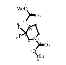 COC(=O)C[C@@H]1CCN(C(=O)OC(C)(C)C)CC1(F)F